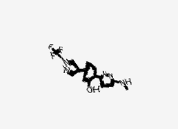 CNc1ccc(-c2ccc(-c3cnn(C(F)(F)F)c3)cc2O)nn1